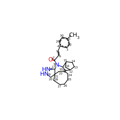 Cc1ccc(/C=C/C(=O)N(C2CC3CCC2C3)C2NNCC23CCCCCCC3)cc1